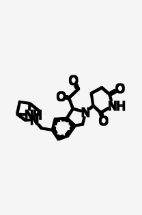 O=CC(=O)C1c2cc(CN3CC4CC(C3)N4)ccc2CN1C1CCC(=O)NC1=O